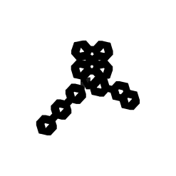 c1ccc(-c2ccc(-c3ccc(N(c4ccc(-c5ccc6ccccc6c5)cc4)c4cccc5c4-c4ccccc4C54c5ccccc5-c5ccccc54)cc3)cc2)cc1